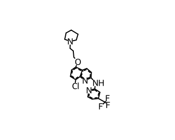 FC(F)(F)c1ccnc(Nc2ccc3c(OCCCN4CCCCC4)ccc(Cl)c3n2)c1